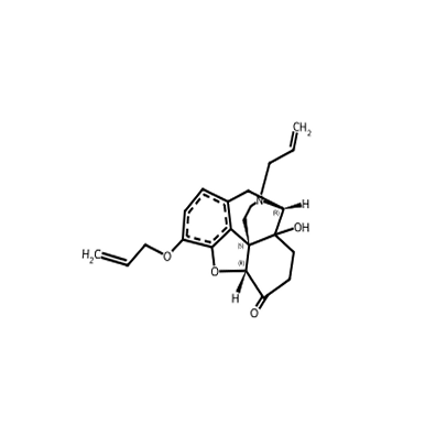 C=CCOc1ccc2c3c1O[C@H]1C(=O)CCC4(O)[C@@H](C2)N(CC=C)CC[C@]314